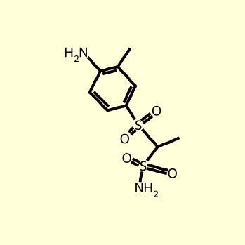 Cc1cc(S(=O)(=O)C(C)S(N)(=O)=O)ccc1N